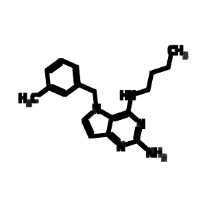 CCCCNc1nc(N)nc2ccn(Cc3cccc(C)c3)c12